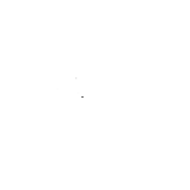 CCCC(CCC)c1c#ccc(-c2cc3c(cc2C)C(C)(C)C(C)CC3(C)C)n1